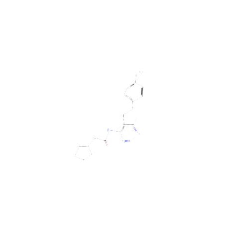 COc1ccc(C2Cc3c(NC(=O)CC4CCCC4)ncnc3O2)cc1